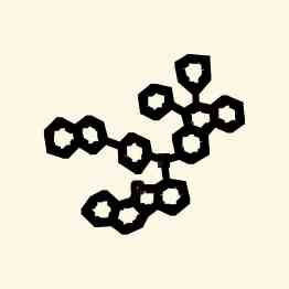 c1ccc(-c2c(-c3ccccc3)c3cc(N(c4ccc(-c5ccc6ccccc6c5)cc4)c4cccc5c4oc4c6ccccc6ccc54)ccc3c3ccccc23)cc1